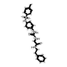 Cc1ccc(S(=O)(=O)Nc2ccc(NC(=O)NCC(=O)NCCc3ccccc3)cc2)cc1